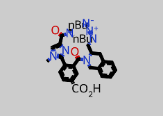 CCCCN(CCCC)C(=O)c1cn(C)c(-c2ccc(C(=O)O)cc2C(=O)N2Cc3ccccc3CC2CN=[N+]=[N-])n1